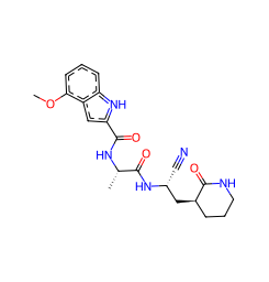 COc1cccc2[nH]c(C(=O)N[C@@H](C)C(=O)N[C@H](C#N)C[C@@H]3CCCNC3=O)cc12